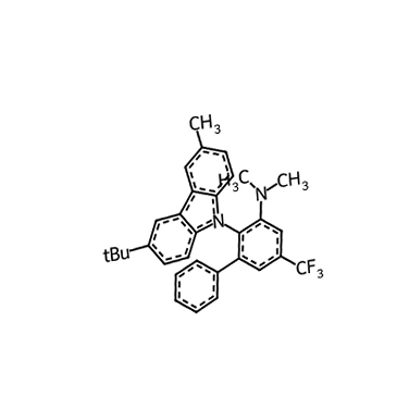 Cc1ccc2c(c1)c1cc(C(C)(C)C)ccc1n2-c1c(-c2ccccc2)cc(C(F)(F)F)cc1N(C)C